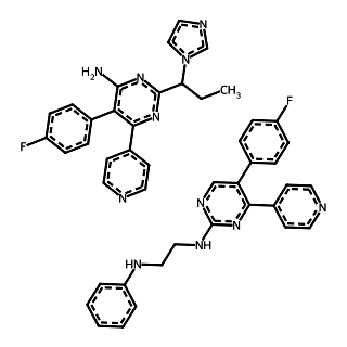 CCC(c1nc(N)c(-c2ccc(F)cc2)c(-c2ccncc2)n1)n1ccnc1.Fc1ccc(-c2cnc(NCCNc3ccccc3)nc2-c2ccncc2)cc1